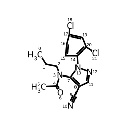 CCCN(C(C)=O)c1c(C#N)cnn1-c1ccc(Cl)cc1Cl